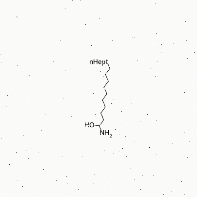 CCCCCCCCCCCCCCCCC(N)O